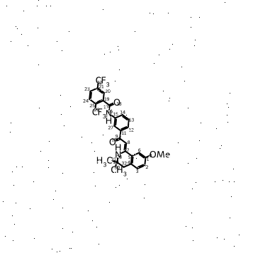 COc1ccc2c(c1)/C(=C/C(=O)c1cccc(NC(=O)c3cc(C(F)(F)F)ccc3C(F)(F)F)c1)NC(C)(C)C2